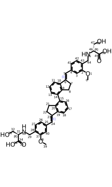 COc1cc(/C=C2\CCc3c2cccc3-c2cccc3c2CC/C3=C\c2ccc(CN[C@H](CO)C(=O)O)c(OC)c2)ccc1CN[C@H](CO)C(=O)O